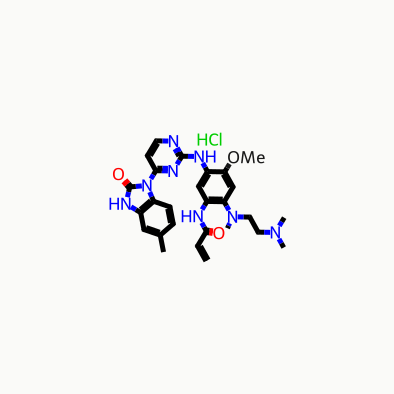 C=CC(=O)Nc1cc(Nc2nccc(-n3c(=O)[nH]c4cc(C)ccc43)n2)c(OC)cc1N(C)CCN(C)C.Cl